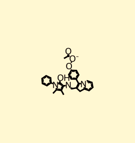 CC(=O)[O-].COc1ccc(C2=C(/C=N/c3c(C)c(C)n(-c4ccccc4)c3O)Cc3cccc[n+]32)cc1